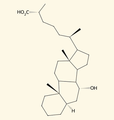 C[C@H](CCC[C@@H](C)C1CCC2C3C(CC[C@@]21C)[C@@]1(C)CCCC[C@@H]1C[C@H]3O)C(=O)O